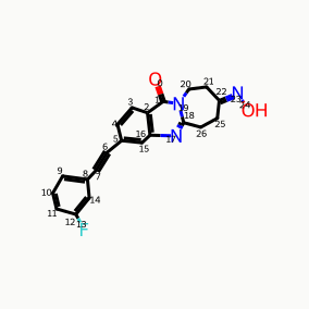 O=c1c2ccc(C#Cc3cccc(F)c3)cc2nc2n1CCC(=NO)CC2